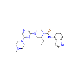 CC(C)C1CN(c2cncc(N3CCN(C)CC3)n2)CCN1C(=S)Nc1cccc2[nH]ccc12